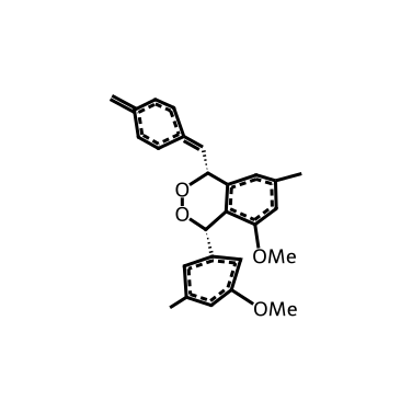 C=c1ccc(=C[C@H]2OO[C@@H](c3cc(C)cc(OC)c3)c3c(OC)cc(C)cc32)cc1